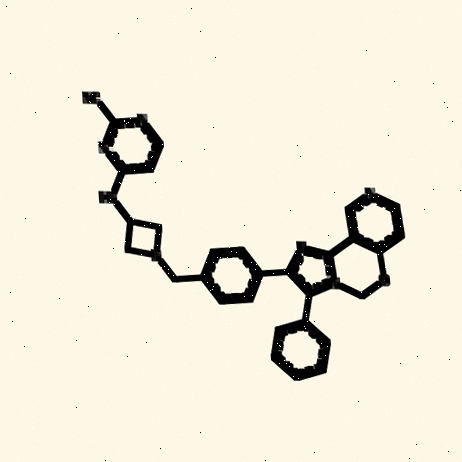 N#Cc1nccc(NC2CN(Cc3ccc(-c4nc5n(c4-c4ccccc4)COc4ccncc4-5)cc3)C2)n1